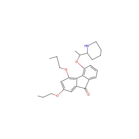 CCCOc1cc(OCCC)c2c(c1)C(=O)c1cccc(OC(C)C3CCCCN3)c1-2